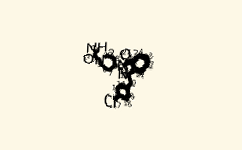 NCC(=O)N1CCCC(n2nc(Cc3ccc(Cl)cc3)c3ccccc3c2=O)CC1